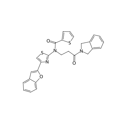 O=C(CCN(C(=O)c1cccs1)c1nc(-c2cc3ccccc3o2)cs1)N1Cc2ccccc2C1